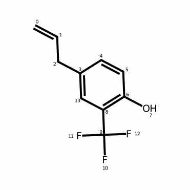 C=CCc1ccc(O)c(C(F)(F)F)c1